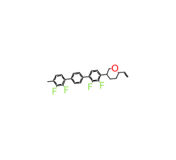 C=CC1CCC(c2ccc(-c3ccc(-c4ccc(C)c(F)c4F)cc3)c(F)c2F)CO1